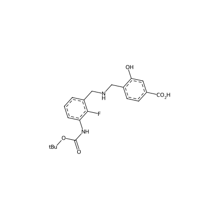 CC(C)(C)OC(=O)Nc1cccc(CNCc2ccc(C(=O)O)cc2O)c1F